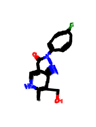 Cc1[nH]cc2c(=O)n(-c3ccc(Cl)cc3)nc-2c1CO